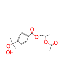 CC(=O)OC(C)COC(=O)c1ccc(C(C)(C)OO)cc1